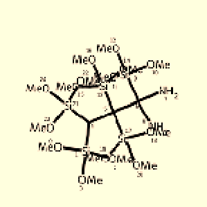 CO[Si](OC)(OC)C(C(C(N)(N)[Si](OC)(OC)OC)([Si](OC)(OC)OC)[Si](OC)(OC)OC)[Si](OC)(OC)OC